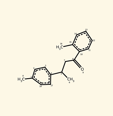 Cc1ccc(C(C)CC(=O)c2ccccc2C)cc1